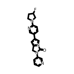 O=C1N(c2cccnc2)Cc2cc(-c3ccc(N4CCC(F)C4)nc3)cn21